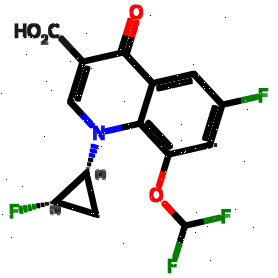 O=C(O)c1cn([C@@H]2C[C@@H]2F)c2c(OC(F)F)[c]c(F)cc2c1=O